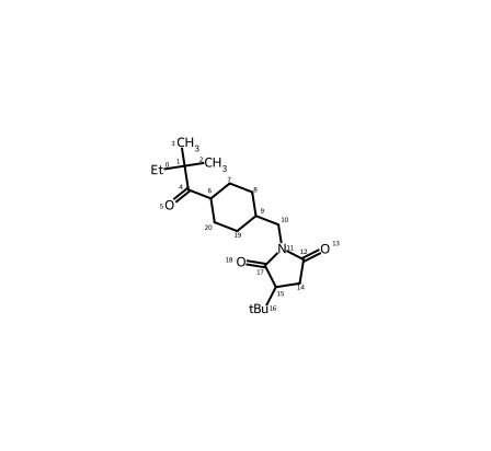 CCC(C)(C)C(=O)C1CCC(CN2C(=O)CC(C(C)(C)C)C2=O)CC1